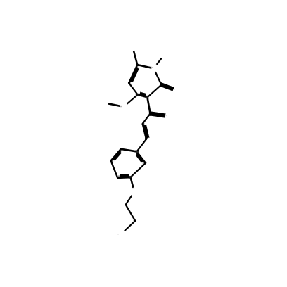 COc1cc(C)n(C)c(=O)c1C(=O)C=Cc1cccc(OCCO)c1